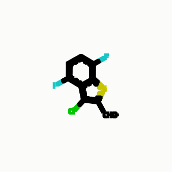 O=[C]c1sc2c(F)ccc(F)c2c1Cl